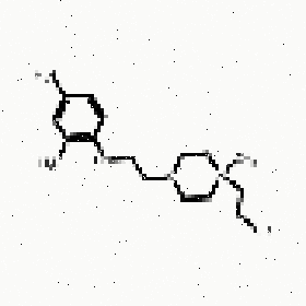 C[N+]1(CCO)CCN(CCNc2ccc(N)cc2N)CC1